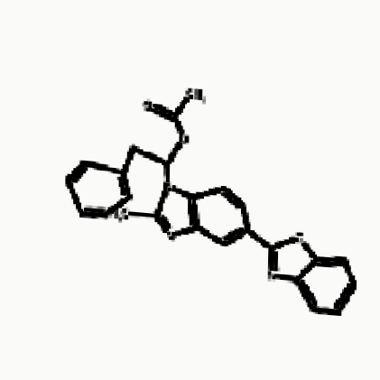 CC(=O)OC(Cc1ccccc1)n1c(C)nc2cc(-c3nc4ccccc4o3)ccc21